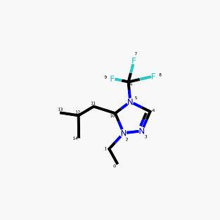 CCN1N=CN(C(F)(F)F)C1CC(C)C